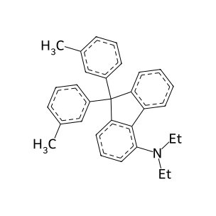 CCN(CC)c1cccc2c1-c1ccccc1C2(c1cccc(C)c1)c1cccc(C)c1